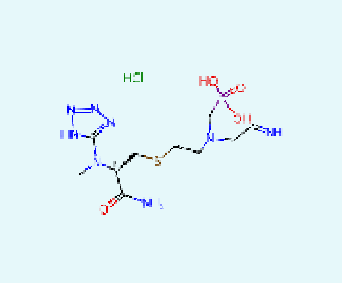 CN(c1nnn[nH]1)[C@@H](CSCCN(CC=N)CP(=O)(O)O)C(N)=O.Cl